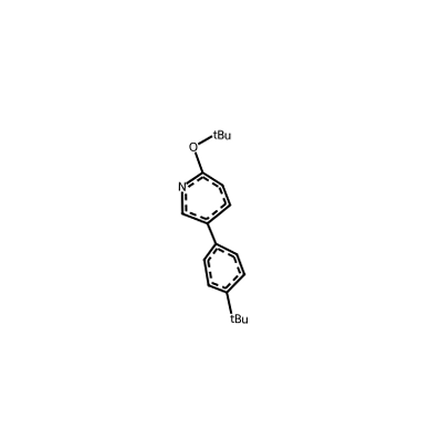 CC(C)(C)Oc1ccc(-c2ccc(C(C)(C)C)cc2)cn1